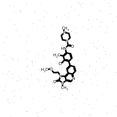 COCCn1c(=O)n(C)c2cnc3ccc(-c4ccc(NC(=O)N5CCN(C)CC5)c(C)c4Cl)cc3c21